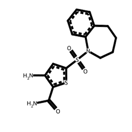 NC(=O)c1sc(S(=O)(=O)N2CCCCc3ccccc32)cc1N